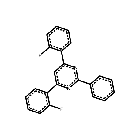 Fc1ccccc1-c1cc(-c2ccccc2F)nc(-c2ccccc2)n1